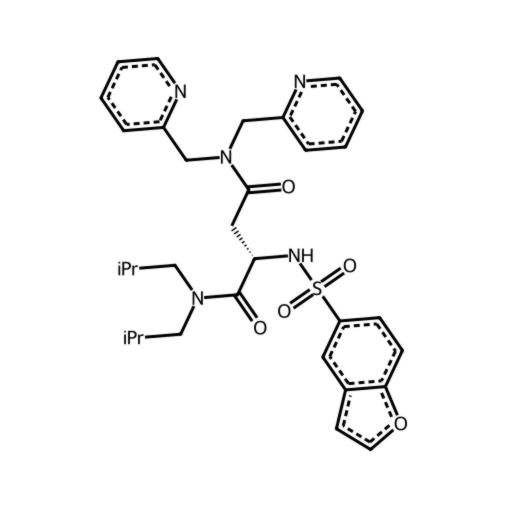 CC(C)CN(CC(C)C)C(=O)[C@H](CC(=O)N(Cc1ccccn1)Cc1ccccn1)NS(=O)(=O)c1ccc2occc2c1